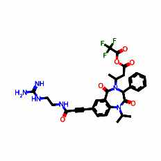 CC(C)N1C(=O)C(c2ccccc2)N(C(C)CC(=O)OC(=O)C(F)(F)F)C(=O)c2cc(C#CC(=O)NCCNC(=N)N)ccc21